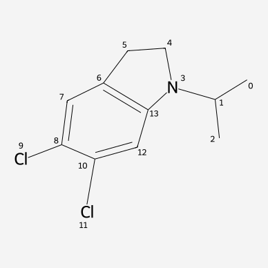 CC(C)N1CCc2cc(Cl)c(Cl)cc21